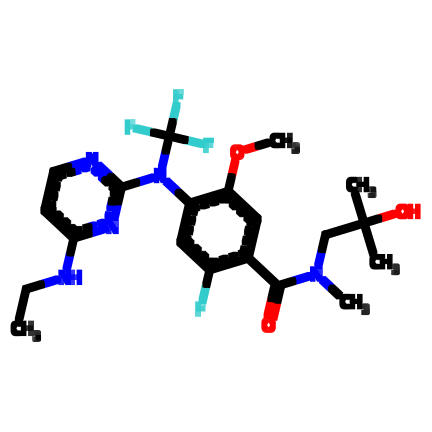 CCNc1ccnc(N(c2cc(F)c(C(=O)N(C)CC(C)(C)O)cc2OC)C(F)(F)F)n1